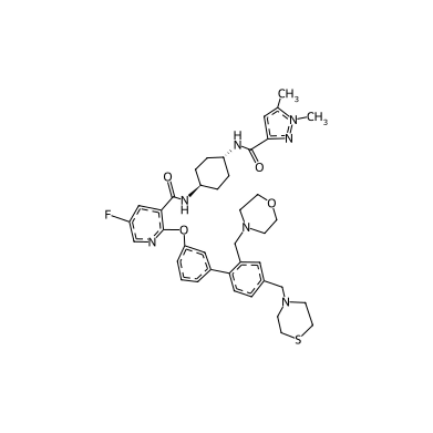 Cc1cc(C(=O)N[C@H]2CC[C@H](NC(=O)c3cc(F)cnc3Oc3cccc(-c4ccc(CN5CCSCC5)cc4CN4CCOCC4)c3)CC2)nn1C